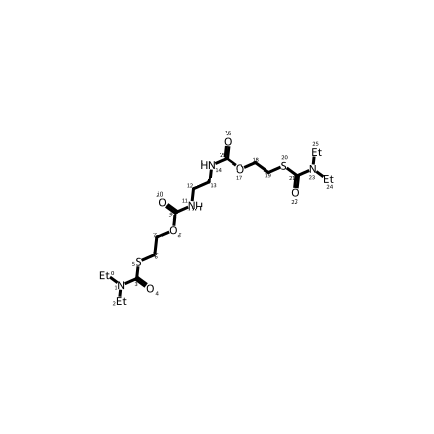 CCN(CC)C(=O)SCCOC(=O)NCCNC(=O)OCCSC(=O)N(CC)CC